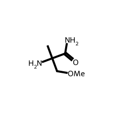 COCC(C)(N)C(N)=O